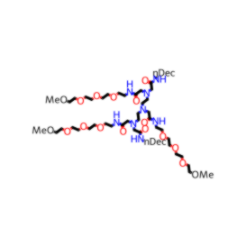 CCCCCCCCCCNC(=O)CN(CCN(CCN(CC(=O)NCCCCCCCCCC)CC(=O)NCCOCCOCCOCCOC)CC(=O)NCCOCCOCCOCCOC)CC(=O)NCCOCCOCCOCCOC